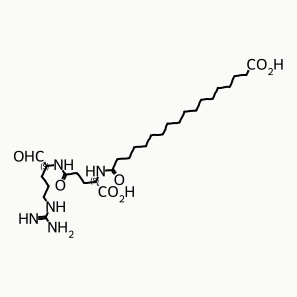 N=C(N)NCCC[C@@H](C=O)NC(=O)CC[C@H](NC(=O)CCCCCCCCCCCCCCCCC(=O)O)C(=O)O